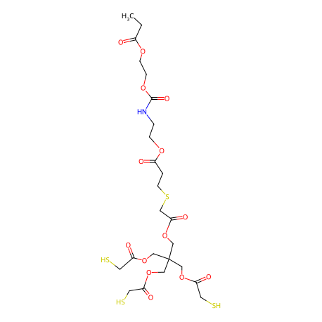 CCC(=O)OCCOC(=O)NCCOC(=O)CCSCC(=O)OCC(COC(=O)CS)(COC(=O)CS)COC(=O)CS